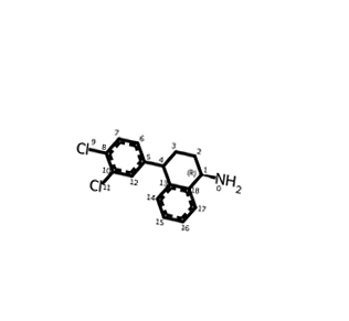 N[C@@H]1CCC(c2ccc(Cl)c(Cl)c2)c2ccccc21